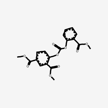 COC(=O)c1ccc(OC(=O)Oc2ccccc2C(=O)OC)c(C(=O)OC)c1